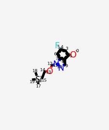 COc1cc(F)cc2c1cnn2COCC[Si](C)(C)C